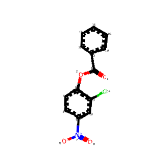 O=C(Oc1ccc([N+](=O)[O-])cc1Cl)c1ccccc1